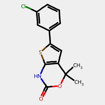 CC1(C)OC(=O)Nc2sc(-c3cccc(Cl)c3)cc21